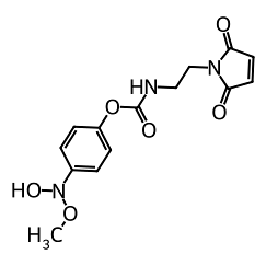 CON(O)c1ccc(OC(=O)NCCN2C(=O)C=CC2=O)cc1